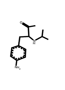 CC(=O)C(Cc1ccc(N)cc1)NC(C)C